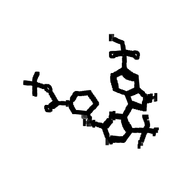 CC(C)(C)OC(=O)N1CCC[C@H](Nc2ncc(C(F)(F)F)c(-c3c[nH]c4cc(S(=O)(=O)CF)ccc34)n2)C1